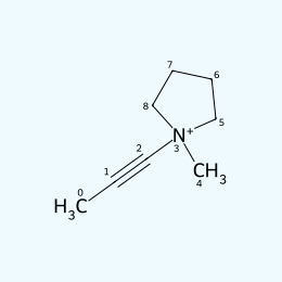 CC#C[N+]1(C)CCCC1